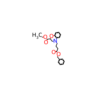 CCOC(=O)C1CN(CCCC(=O)OCc2ccccc2)c2ccccc2O1